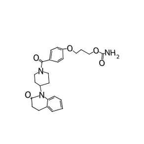 NC(=O)OCCCOc1ccc(C(=O)N2CCC(N3C(=O)CCc4ccccc43)CC2)cc1